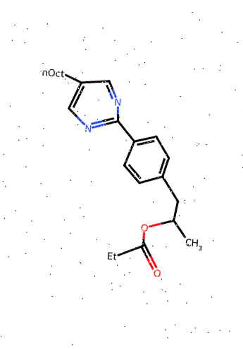 CCCCCCCCc1cnc(-c2ccc(CC(C)OC(=O)CC)cc2)nc1